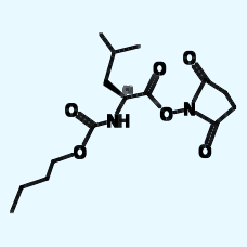 CCCCOC(=O)N[C@@H](CC(C)C)C(=O)ON1C(=O)CCC1=O